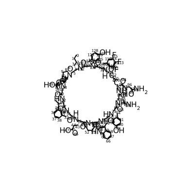 CCCC[C@H]1C(=O)N2CCC[C@@H]2C(=O)N[C@@H](CC(=O)O)C(=O)N[C@@H](C(C)C)C(=O)N(C)[C@@H](Cc2ccccc2)C(=O)N[C@@H](CCC(=O)O)C(=O)N2CCCC[C@@H]2C(=O)N[C@@H](Cc2c[nH]c3ccccc23)C(=O)N[C@@H](Cc2ccc(O)cc2)C(=O)N[C@@H](CCN)C(=O)N[C@H](C(=O)NCC(N)=O)CSCC(=O)N[C@@H](Cc2cc(F)c(F)c(F)c2)C(=O)N(C)[C@@H](Cc2ccc(O)cc2)C(=O)N1C